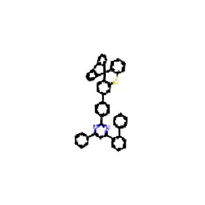 c1ccc(-c2cc(-c3ccccc3-c3ccccc3)nc(-c3ccc(-c4ccc5c(c4)Sc4ccccc4C54c5ccccc5-c5ccccc54)cc3)n2)cc1